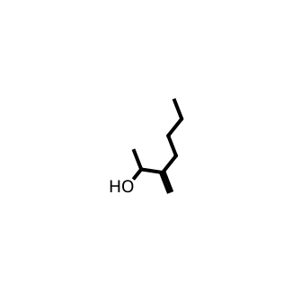 C=C(CCCC)C(C)O